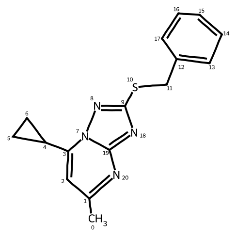 Cc1cc(C2CC2)n2nc(SCc3ccccc3)nc2n1